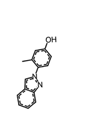 Cc1cc(O)ccc1-n1cc2ccccc2n1